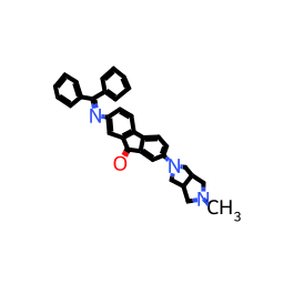 CN1CC2CN(c3ccc4c(c3)C(=O)c3cc(N=C(c5ccccc5)c5ccccc5)ccc3-4)CC2C1